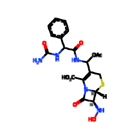 CC(=O)OC(NC(=O)C(NC(N)=O)c1ccccc1)C1=C(C(=O)O)N2C(=O)[C@H](NO)[C@H]2SC1